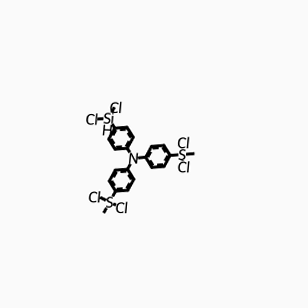 CS(Cl)(Cl)c1ccc(N(c2ccc([SiH](Cl)Cl)cc2)c2ccc(S(C)(Cl)Cl)cc2)cc1